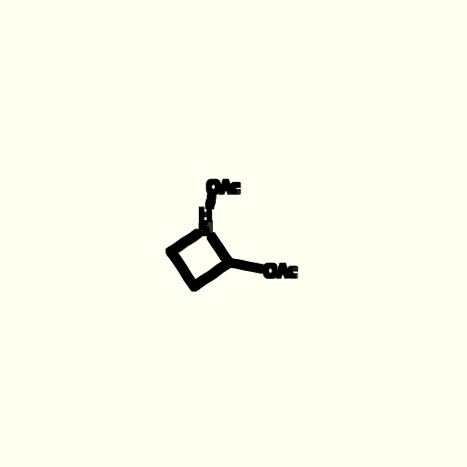 CC(=O)OC1CC[SiH]1OC(C)=O